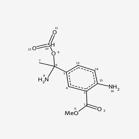 COC(=O)c1cc(C(C)(N)O[SH](=O)=O)ccc1N